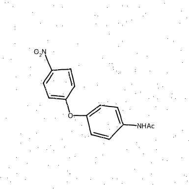 CC(=O)Nc1ccc(Oc2ccc([N+](=O)[O-])cc2)cc1